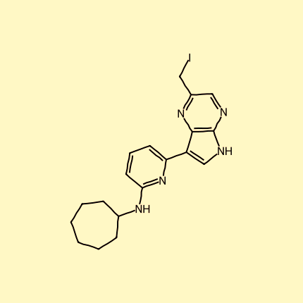 ICc1cnc2[nH]cc(-c3cccc(NC4CCCCCC4)n3)c2n1